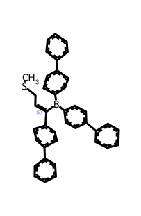 CSC/C=C(\B(c1ccc(-c2ccccc2)cc1)c1ccc(-c2ccccc2)cc1)c1ccc(-c2ccccc2)cc1